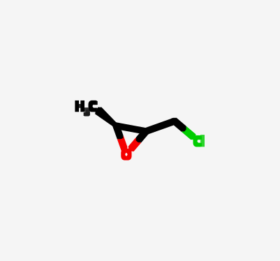 C[C@@H]1OC1CCl